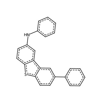 c1ccc(Nc2ccc3sc4ccc(-c5ccccc5)cc4c3c2)cc1